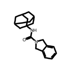 O=C(NC12CC3CC(CC(C3)C1)C2)N1Cc2ccccc2C1